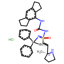 CC(C)(C)[Si](N=S(=O)(/C=C/[C@]1(C)CCCN1)NC(=O)Nc1c2c(cc3c1CCC3)CCC2)(c1ccccc1)c1ccccc1.Cl